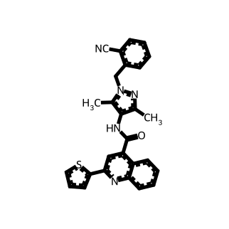 Cc1nn(Cc2ccccc2C#N)c(C)c1NC(=O)c1cc(-c2cccs2)nc2ccccc12